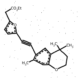 CCOC(=O)Cc1ccc(C#Cc2cc3c(cc2C)OCCC3(C)C)o1